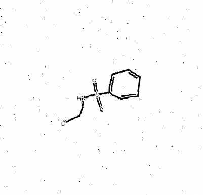 O=S(=O)(NCCl)c1ccccc1